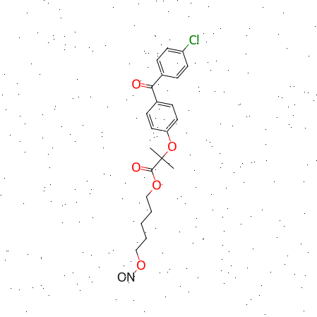 CC(C)(Oc1ccc(C(=O)c2ccc(Cl)cc2)cc1)C(=O)OCCCCCON=O